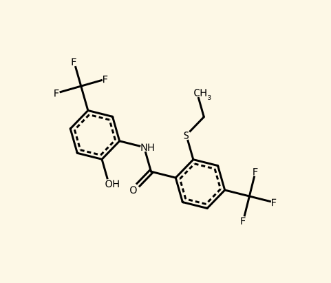 CCSc1cc(C(F)(F)F)ccc1C(=O)Nc1cc(C(F)(F)F)ccc1O